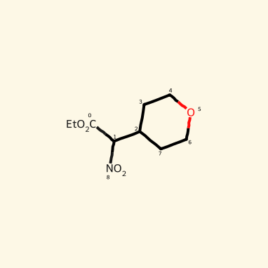 CCOC(=O)C(C1CCOCC1)[N+](=O)[O-]